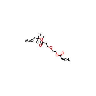 C=CC(=O)OCCOCCC(=O)OC(C)(C)COC